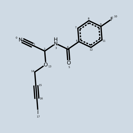 N#CC(NC(=O)c1ccc(F)cc1)OCC#CI